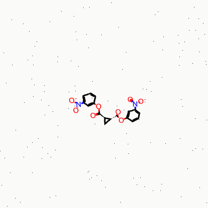 O=C(Oc1cccc([N+](=O)[O-])c1)[C@@H]1C[C@H]1C(=O)Oc1cccc([N+](=O)[O-])c1